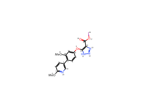 COc1ccc(-c2ccc(Oc3[nH]nnc3C(=O)OI)cc2OC)cn1